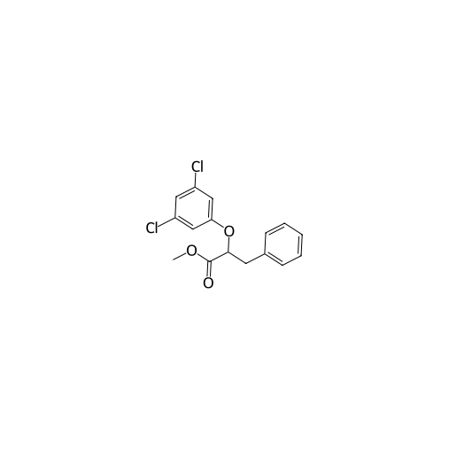 COC(=O)C(Cc1ccccc1)Oc1cc(Cl)cc(Cl)c1